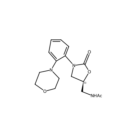 CC(=O)NC[C@H]1CN(c2ccccc2N2CCOCC2)C(=O)O1